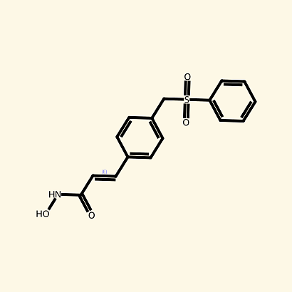 O=C(/C=C/c1ccc(CS(=O)(=O)c2ccccc2)cc1)NO